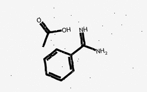 CC(=O)O.N=C(N)c1ccccc1